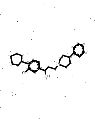 OC(CCN1CCC(c2ccccc2)CC1)c1ccc(C2CCCCC2)c(Cl)c1